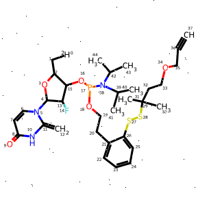 [2H]CC1OC(N2C=CC(=O)NC2=C)C(F)C1OP(OCCc1ccccc1SSC(C)(C)CCOCC#C)N(C(C)C)C(C)C